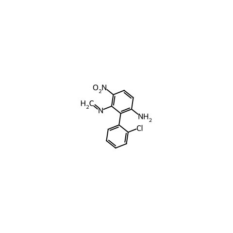 C=Nc1c([N+](=O)[O-])ccc(N)c1-c1ccccc1Cl